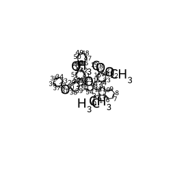 CCC1(CC)c2ccccc2-c2c1c1c(c3cc(OC)c(OC)cc23)OC(c2ccc(Oc3ccccc3)cc2)(c2ccc(Oc3ccccc3)cc2)C=C1